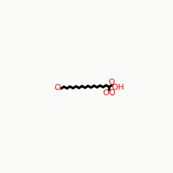 COCCCCCCCCCCCCCCCCC(C(=O)O)C(=O)OC